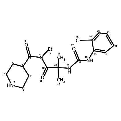 CCN(C(=O)C1CCNCC1)C(=O)C(C)(C)NC(=O)Nc1ccccc1Cl